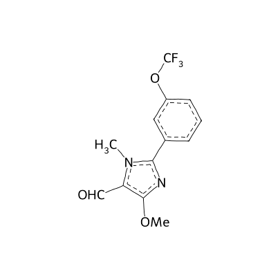 COc1nc(-c2cccc(OC(F)(F)F)c2)n(C)c1C=O